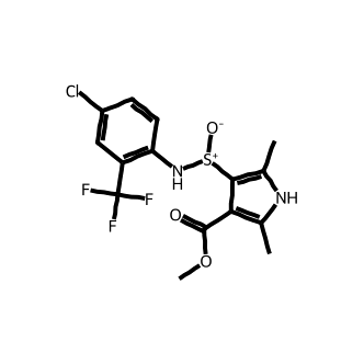 COC(=O)c1c(C)[nH]c(C)c1[S+]([O-])Nc1ccc(Cl)cc1C(F)(F)F